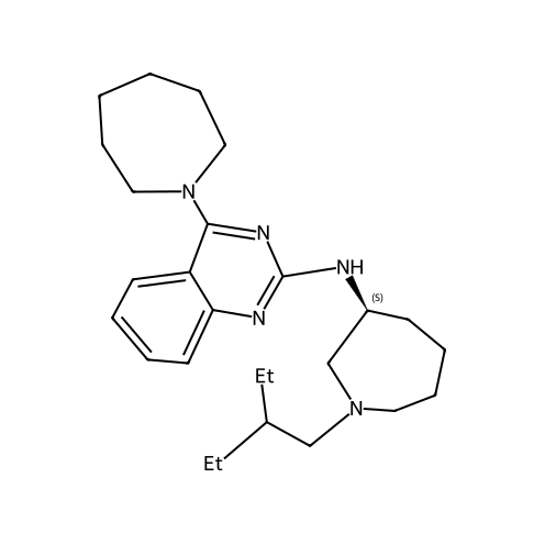 CCC(CC)CN1CCCC[C@H](Nc2nc(N3CCCCCC3)c3ccccc3n2)C1